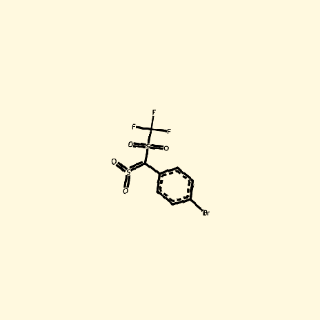 O=S(=O)=C(c1ccc(Br)cc1)S(=O)(=O)C(F)(F)F